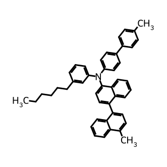 CCCCCCc1cccc(N(c2ccc(-c3ccc(C)cc3)cc2)c2ccc(-c3ccc(C)c4ccccc34)c3ccccc23)c1